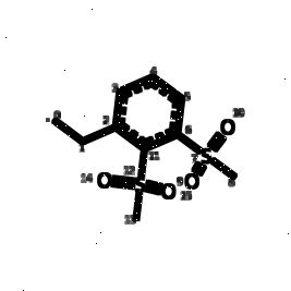 [CH2]Cc1cccc(S(C)(=O)=O)c1S(C)(=O)=O